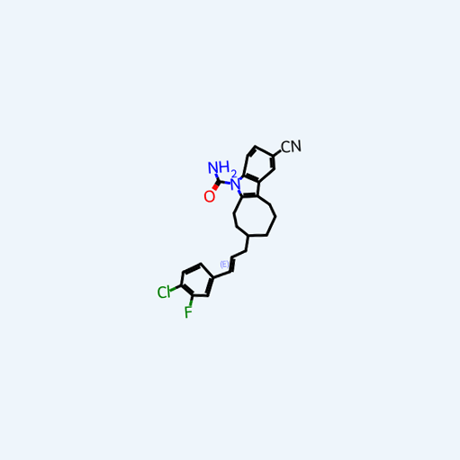 N#Cc1ccc2c(c1)c1c(n2C(N)=O)CCC(C/C=C/c2ccc(Cl)c(F)c2)CCC1